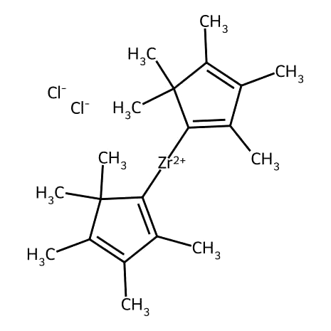 CC1=C(C)C(C)(C)[C]([Zr+2][C]2=C(C)C(C)=C(C)C2(C)C)=C1C.[Cl-].[Cl-]